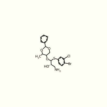 C[C@H]1OC(c2ccccc2)OCC1OC(Sc1ccc(Br)c(Cl)c1)[C@@H](O)CN